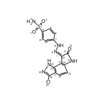 NS(=O)(=O)c1ccc(N/N=C2\C(=O)Nc3ccc4c(Cl)n[nH]c4c32)cc1